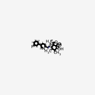 C[C@H]1[C@H](/C=C/c2ccc(-c3cccc(F)c3)cn2)[C@@H]2[C@@H](C)OC(=O)[C@]2(C(=O)O)C[C@@H]1C